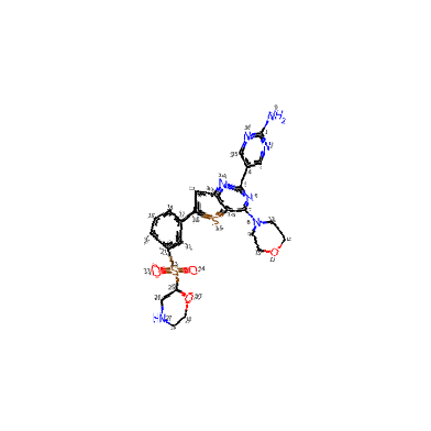 Nc1ncc(-c2nc(N3CCOCC3)c3sc(-c4cccc(S(=O)(=O)C5CNCCO5)c4)cc3n2)cn1